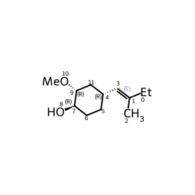 CC/C(C)=C/[C@@H]1CC[C@@H](O)[C@H](OC)C1